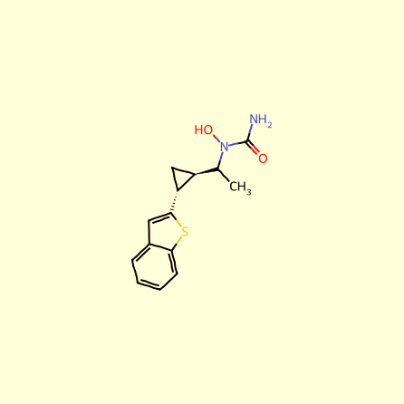 CC([C@@H]1C[C@H]1c1cc2ccccc2s1)N(O)C(N)=O